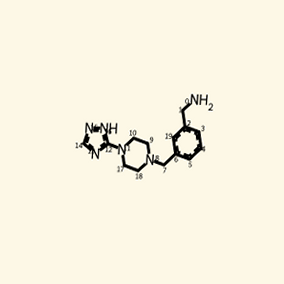 NCc1cccc(CN2CCN(c3ncn[nH]3)CC2)c1